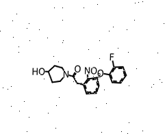 O=C(Cc1cccc(Oc2ccccc2F)c1[N+](=O)[O-])N1CCC(O)CC1